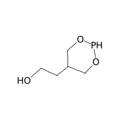 OCCC1COPOC1